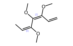 C=C/C(OC)=C(OC)\C(=C/C)OC